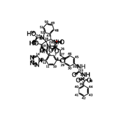 O=CC(=O)N(Nc1cc(Cl)ccc1-n1cnnn1)C1(C(=O)O)C(NC(=O)CCc2ccc(NC(=O)NS(=O)(=O)c3ccccc3)cc2)c2ccccc2N1C(=O)O